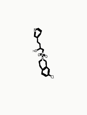 O=S(=O)(CC(O)CCc1cccnc1)N1CCc2ccc(Cl)cc2C1